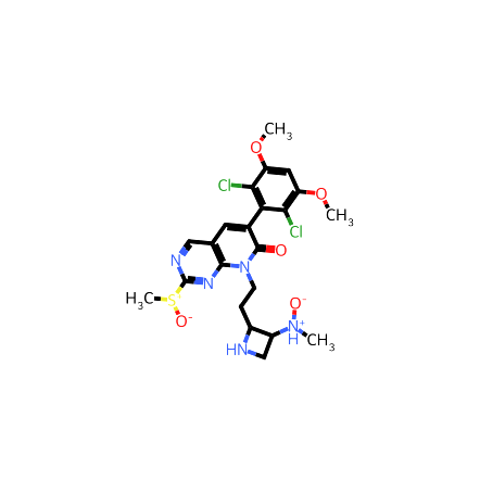 COc1cc(OC)c(Cl)c(-c2cc3cnc([S+](C)[O-])nc3n(CCC3NCC3[NH+](C)[O-])c2=O)c1Cl